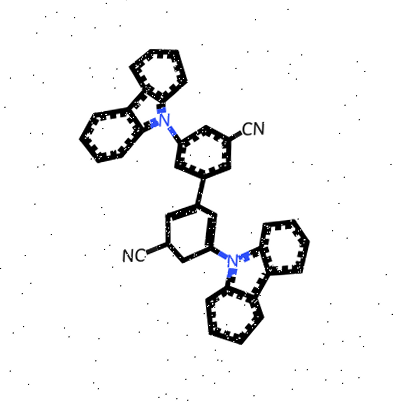 N#Cc1cc(C2=CC(C#N)CC(n3c4ccccc4c4ccccc43)=C2)cc(-n2c3ccccc3c3ccccc32)c1